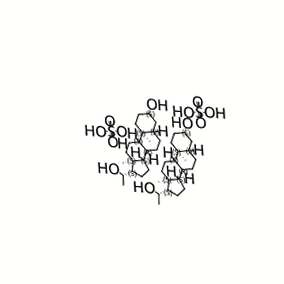 CC(O)[C@H]1CC[C@H]2[C@@H]3CC[C@H]4C[C@@H](O)CC[C@]4(C)[C@H]3CC[C@]12C.CC(O)[C@H]1CC[C@H]2[C@@H]3CC[C@H]4C[C@@H](O)CC[C@]4(C)[C@H]3CC[C@]12C.O=S(=O)(O)O.O=S(=O)(O)O